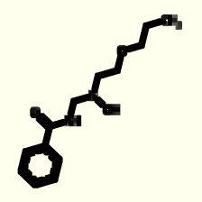 CCCOCCN(O)CNC(=O)c1ccccc1